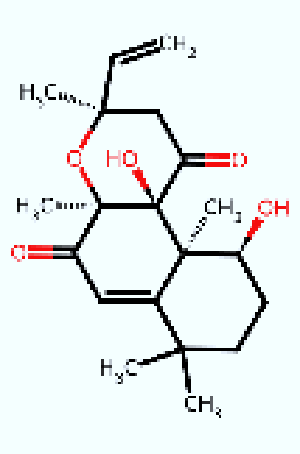 C=C[C@@]1(C)CC(=O)[C@@]2(O)[C@](C)(O1)C(=O)C=C1C(C)(C)CC[C@H](O)[C@@]12C